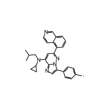 [CH]c1ccc(-c2cnc3c(N(CC(C)C)C4CC4)cc(-c4cccc5cnccc45)nn23)cc1